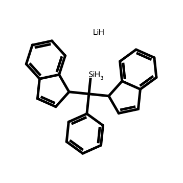 [LiH].[SiH3]C(c1ccccc1)(C1C=Cc2ccccc21)C1C=Cc2ccccc21